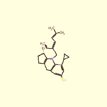 C=C/C(=C\C=C(C)C)CN1C2=C(CC[C@@H]2CC)Cc2cc(S)cc(C3CC3)c21